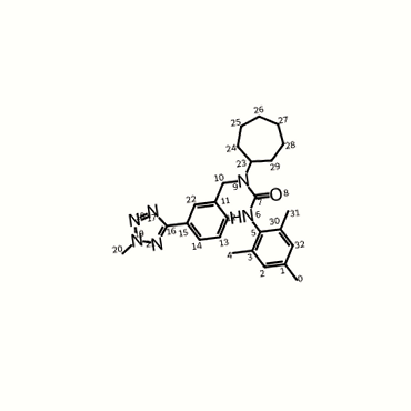 Cc1cc(C)c(NC(=O)N(Cc2cccc(-c3nnn(C)n3)c2)C2CCCCCC2)c(C)c1